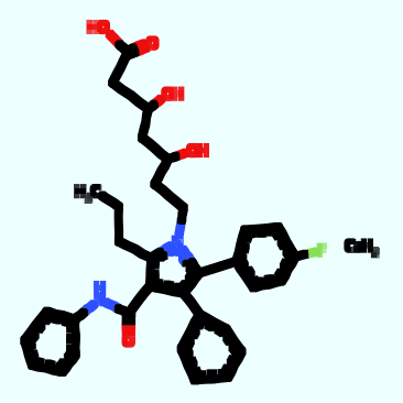 CCCc1c(C(=O)Nc2ccccc2)c(-c2ccccc2)c(-c2ccc(F)cc2)n1CCC(O)CC(O)CC(=O)O.[CaH2]